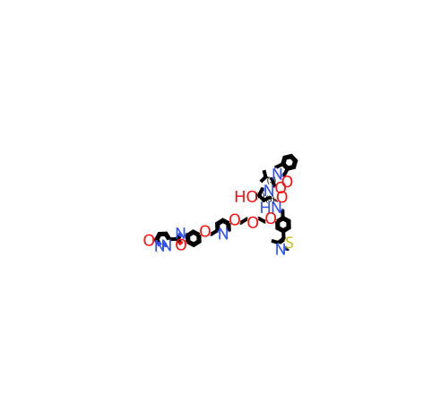 Cc1ncsc1-c1ccc(CNC(=O)[C@@H]2C[C@@H](O)CN2C(=O)[C@H](C(C)C)N2Cc3ccccc3C2=O)c(OCCOCCOc2ccc(COc3ccc4oc(-c5ccc(=O)n(C)n5)nc4c3)nc2)c1